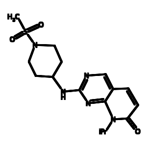 CC(C)n1c(=O)ccc2cnc(NC3CCN(S(C)(=O)=O)CC3)nc21